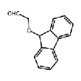 O=CCOC1c2ccccc2-c2ccccc21